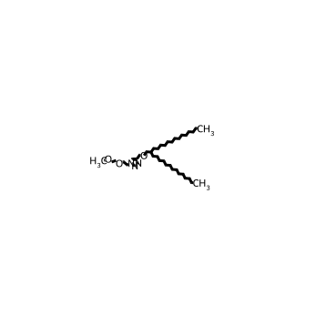 CCCCCCCCCCCCCCC(CCCCCCCCCCCCCC)COCc1cn(CCOCCOC)nn1